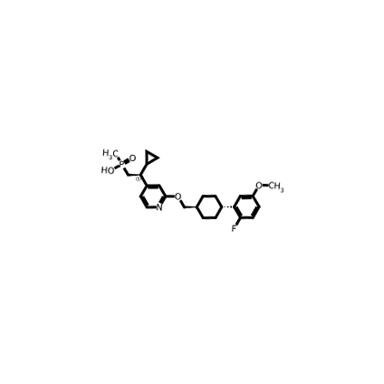 COc1ccc(F)c([C@H]2CC[C@H](COc3cc([C@@H](CP(C)(=O)O)C4CC4)ccn3)CC2)c1